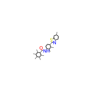 Cc1ccc2nc(-c3ccc(NC(=O)c4c(C)c(C)c(C)c(C)c4C)c(C)c3C)sc2c1